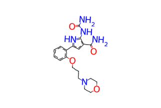 NC(=O)Nc1[nH]c(-c2ccccc2OCCCN2CCOCC2)cc1C(N)=O